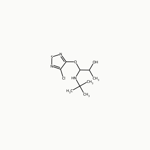 CC(O)C(NC(C)(C)C)Oc1nsnc1Cl